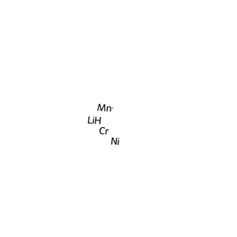 [Cr].[LiH].[Mn].[Ni]